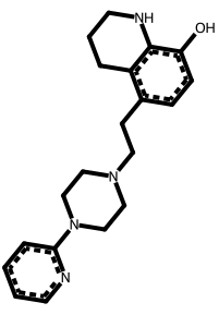 Oc1ccc(CCN2CCN(c3ccccn3)CC2)c2c1NCCC2